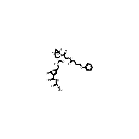 CC(C)(C)OC(=O)NC(=N)c1cc(CNC(=O)[C@@H]2C[C@]3(C)C[C@@H]3N2C(=O)CNC(=O)CCCOc2ccccc2)sc1F